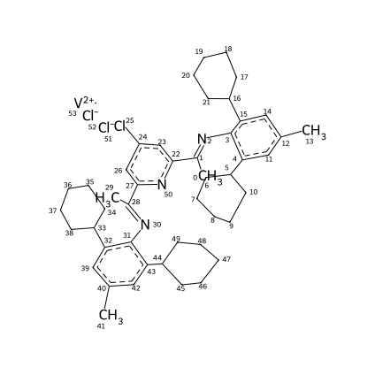 CC(=Nc1c(C2CCCCC2)cc(C)cc1C1CCCCC1)c1cc(Cl)cc(C(C)=Nc2c(C3CCCCC3)cc(C)cc2C2CCCCC2)n1.[Cl-].[Cl-].[V+2]